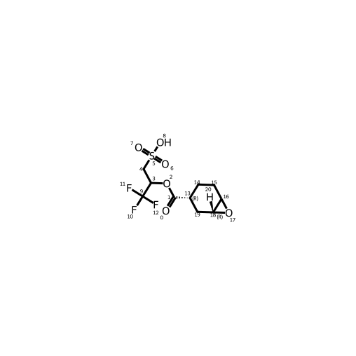 O=C(OC(CS(=O)(=O)O)C(F)(F)F)[C@@H]1CCC2O[C@@H]2C1